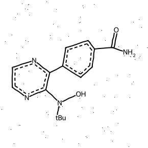 CC(C)(C)N(O)c1nccnc1-c1ccc(C(N)=O)cc1